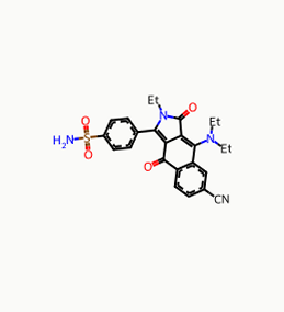 CCN(CC)C1=C2C(=O)N(CC)C(c3ccc(S(N)(=O)=O)cc3)=C2C(=O)c2ccc(C#N)cc21